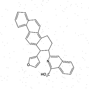 O=C(O)c1nc(C2CCc3c(ccc4c3ccc3ccccc34)C2c2ccoc2)cc2ccccc12